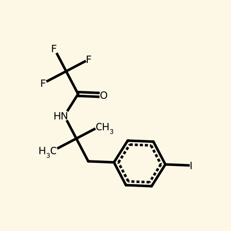 CC(C)(Cc1ccc(I)cc1)NC(=O)C(F)(F)F